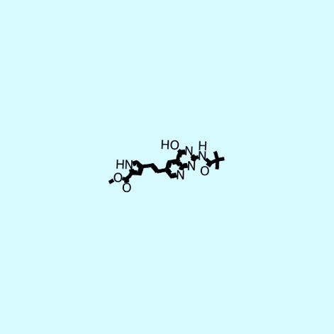 COC(=O)c1cc(C=Cc2cnc3nc(NC(=O)C(C)(C)C)nc(O)c3c2)c[nH]1